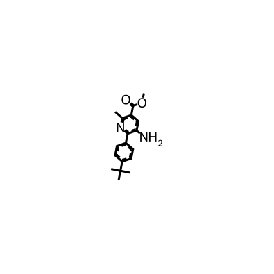 COC(=O)c1cc(N)c(-c2ccc(C(C)(C)C)cc2)nc1C